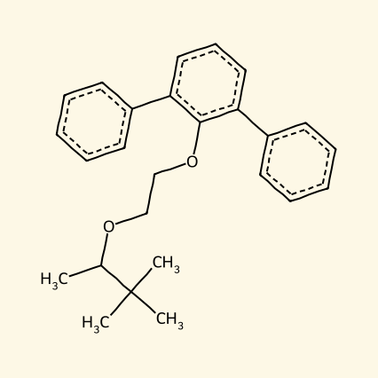 CC(OCCOc1c(-c2ccccc2)cccc1-c1ccccc1)C(C)(C)C